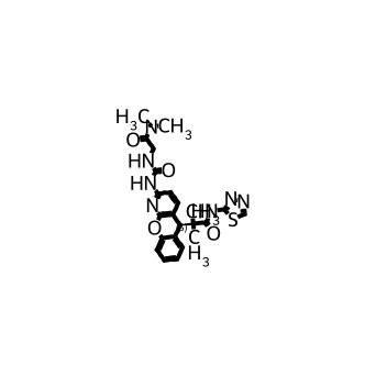 CN(C)C(=O)CNC(=O)Nc1ccc2c(n1)Oc1ccccc1[C@@H]2C(C)(C)C(=O)Nc1nncs1